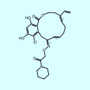 C=C/C1=C\CC/C=C/C(=N/OCC(=O)N2CCCCC2)Cc2c(Cl)c(O)cc(O)c2C(=O)OCC1